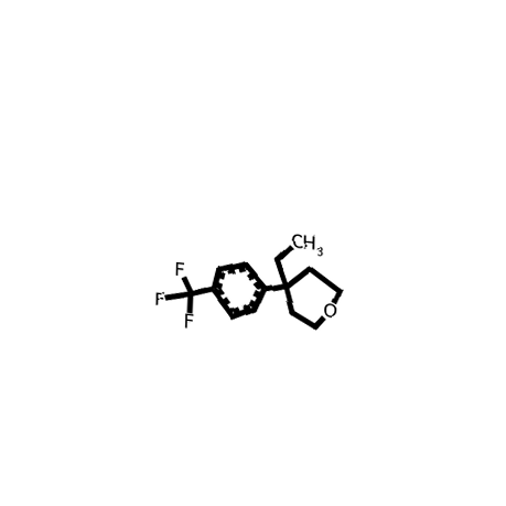 CCC1(c2ccc(C(F)(F)F)cc2)CCOCC1